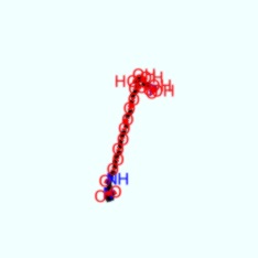 O=C(CCN1C(=O)C=CC1=O)NCCOCCOCCOCCOCCOCCOCCOCCOCCOC1OC(COP(=O)(O)O)C(O)C(O)C1O